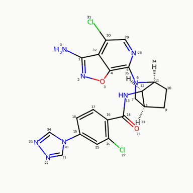 Nc1noc2c(N3C[C@@H]4CC[C@H]3[C@@H]4NC(=O)c3ccc(-n4cnnc4)cc3Cl)ncc(Cl)c12